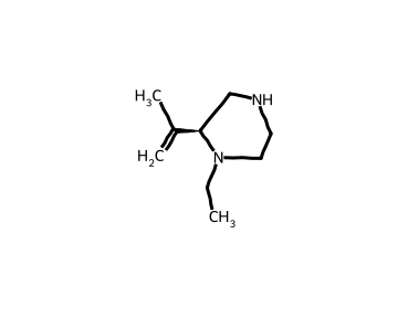 C=C(C)[C@H]1CNCCN1CC